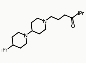 CC(C)C(=O)CCCN1CCC(N2CCC(C(C)C)CC2)CC1